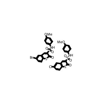 COc1ccc(NS(=O)(=O)c2cc3cc(Br)ccc3sc2=O)cc1.COc1ccc(NS(=O)(=O)c2cc3cc(Cl)ccc3sc2=O)cc1